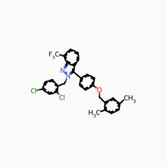 Cc1ccc(C)c(COc2ccc(-c3c4cccc(C(F)(F)F)c4nn3Cc3ccc(Cl)cc3Cl)cc2)c1